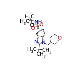 CC(C)(C)NS(=O)(=O)c1ccc2c(c1)nc(C(C)(C)C)n2CC1CCOCC1